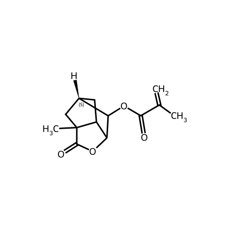 C=C(C)C(=O)OC1C2OC(=O)C3(C)C[C@@H]1CC23